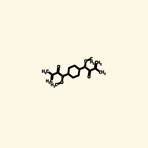 C=C(C)C(=O)N(OC)C1CCC(N(OC)C(=O)C(=C)C)CC1